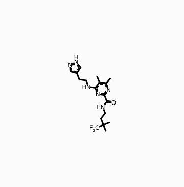 Cc1nc(C(=O)NCCC(C)(C)C(F)(F)F)nc(NCCc2cn[nH]c2)c1C